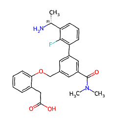 C[C@@H](N)c1cccc(-c2cc(COc3ccccc3CC(=O)O)cc(C(=O)N(C)C)c2)c1F